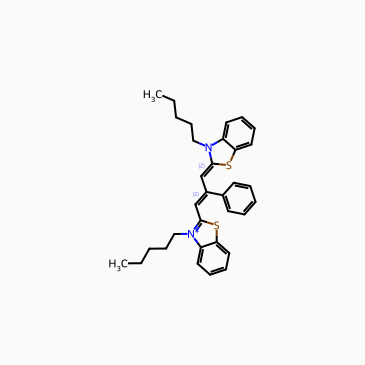 CCCCCN1/C(=C/C(=C/c2sc3ccccc3[n+]2CCCCC)c2ccccc2)Sc2ccccc21